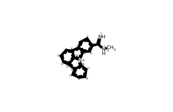 CNC(=N)c1ccc2c3cccc4c5ccccc5n(c2c1)c43